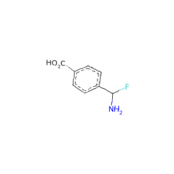 NC(F)c1ccc(C(=O)O)cc1